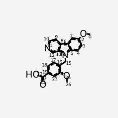 COc1ccc2c(c1)c1ccncc1n2Cc1ccc(C(=O)O)cc1OC